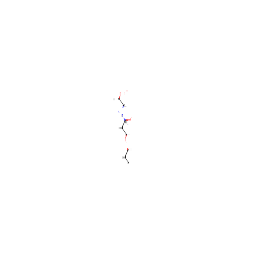 [CH2]CCOCCC(O)NCCO